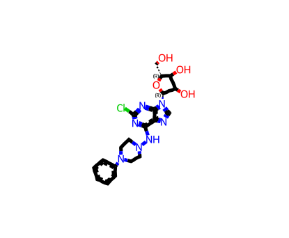 OC[C@H]1O[C@@H](n2cnc3c(NN4CCN(c5ccccc5)CC4)nc(Cl)nc32)C(O)C1O